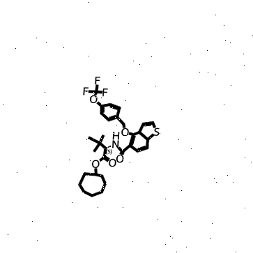 CC(C)(C)[C@H](NC(=O)C1=C(OCc2ccc(OC(F)(F)F)cc2)C2C=CSC2C=C1)C(=O)OC1CCCCCCC1